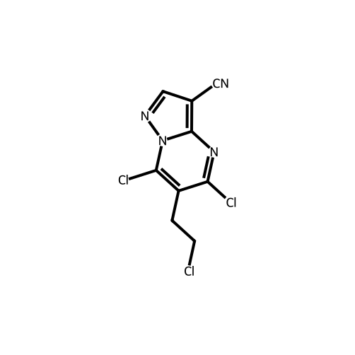 N#Cc1cnn2c(Cl)c(CCCl)c(Cl)nc12